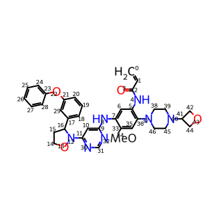 C=CC(=O)Nc1cc(Nc2cc(N3OCCC3c3cccc(Oc4ccccc4)c3)ncn2)c(OC)cc1N1CCN(C2COC2)CC1